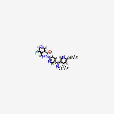 CO/N=C(/c1ccc(NC(=O)c2cncc(F)c2C)nc1)c1ccc(OC)nc1